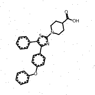 O=C(O)C1CCN(c2nc(-c3ccc(Oc4ccccc4)cc3)c(-c3ccccc3)s2)CC1